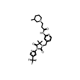 CC1CCCN(CCC(=O)Nc2cc(CN3C(=O)N(c4cc(C(F)(F)F)cs4)C(=O)C3(C)C)ccn2)C1